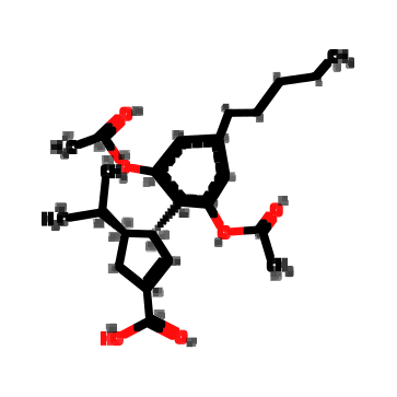 CCCCCc1cc(OC(C)=O)c([C@@H]2C=C(C(=O)O)C[C@H]2C(C)C)c(OC(C)=O)c1